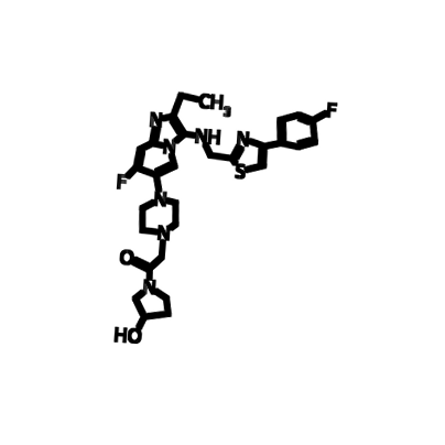 CCc1nc2cc(F)c(N3CCN(CC(=O)N4CCC(O)C4)CC3)cn2c1NCc1nc(-c2ccc(F)cc2)cs1